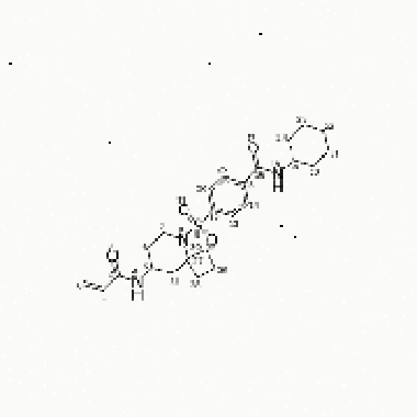 C=CC(=O)NC1CCN(S(=O)(=O)c2ccc(C(=O)NC3CCCCC3)cc2)C2(CCC2)C1